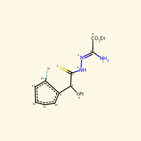 CCCC(C(=S)N/N=C(\N)C(=O)OCC)c1ccccc1F